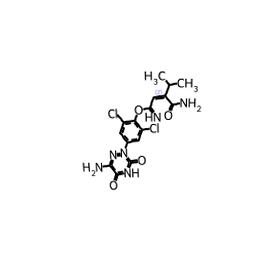 CC(C)/C(=C/C(=N)Oc1c(Cl)cc(-n2nc(N)c(=O)[nH]c2=O)cc1Cl)C(N)=O